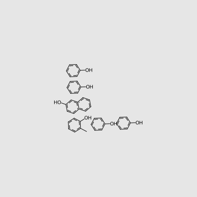 Cc1ccccc1O.Oc1ccc2ccccc2c1.Oc1ccccc1.Oc1ccccc1.Oc1ccccc1.Oc1ccccc1